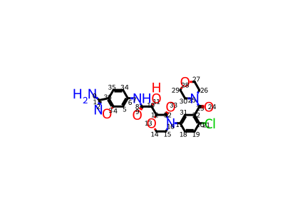 Nc1noc2cc(NC(=O)C(O)C3OCCN(c4ccc(Cl)c(C(=O)N5CCOCC5)c4)C3=O)ccc12